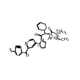 CN[C@@H](C)C(=O)NC(C(=O)N1CCC[C@H]1c1ccnc(C(=O)c2ccc(F)cc2)c1)C1CCCCC1